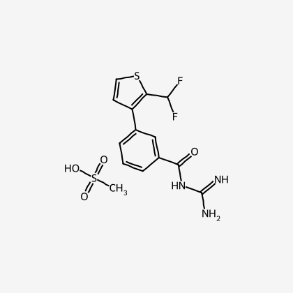 CS(=O)(=O)O.N=C(N)NC(=O)c1cccc(-c2ccsc2C(F)F)c1